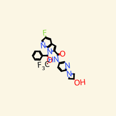 O=C(Nc1ccc(N2CC(O)C2)nc1)c1cc2cc(F)cnc2n1C(OC(F)(F)F)c1ccccc1